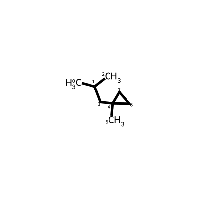 CC(C)CC1(C)CC1